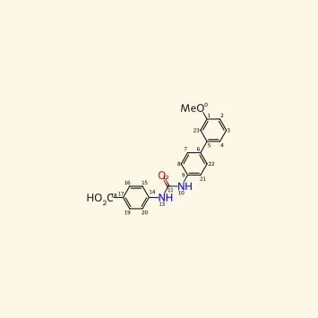 COc1cccc(-c2ccc(NC(=O)Nc3ccc(C(=O)O)cc3)cc2)c1